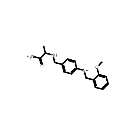 COc1ccccc1CNc1ccc(CNC(C)C(N)=O)cc1